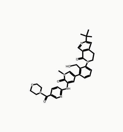 Cn1cc(-c2cccc(N3CCc4cc(C(C)(C)C)ncc4C3=O)c2CO)cc(Nc2ccc(C(=O)N3CCOCC3)cn2)c1=O